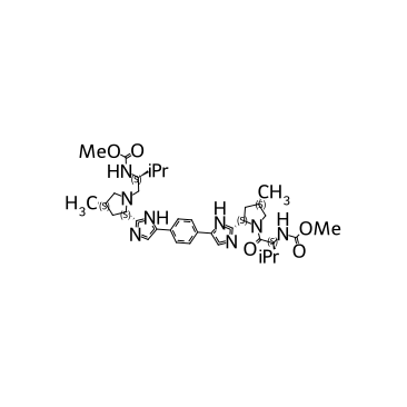 COC(=O)N[C@H](C(=O)N1C[C@@H](C)C[C@H]1c1ncc(-c2ccc(-c3cnc([C@@H]4C[C@H](C)CN4C[C@@H](NC(=O)OC)C(C)C)[nH]3)cc2)[nH]1)C(C)C